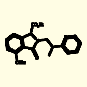 CCOC(=O)C1c2cccc(OC)c2C(=O)N1CC(C)c1ccccn1